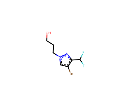 OCCCn1cc(Br)c(C(F)F)n1